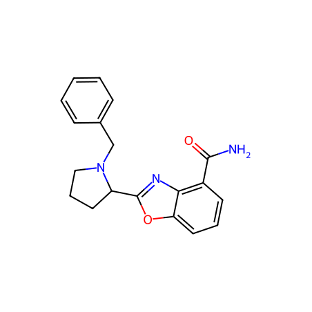 NC(=O)c1cccc2oc(C3CCCN3Cc3ccccc3)nc12